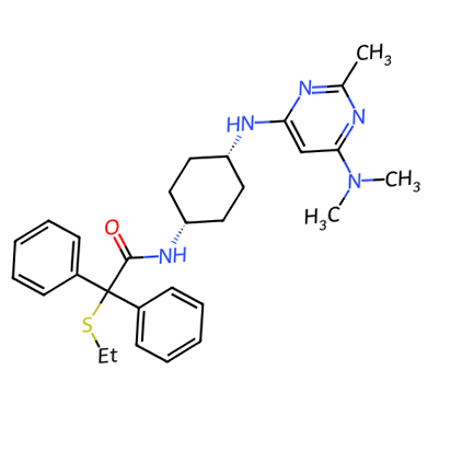 CCSC(C(=O)N[C@H]1CC[C@@H](Nc2cc(N(C)C)nc(C)n2)CC1)(c1ccccc1)c1ccccc1